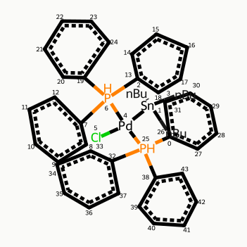 CCC[CH2][Sn]([CH2]CCC)([CH2]CCC)[Pd]([Cl])([PH](c1ccccc1)(c1ccccc1)c1ccccc1)[PH](c1ccccc1)(c1ccccc1)c1ccccc1